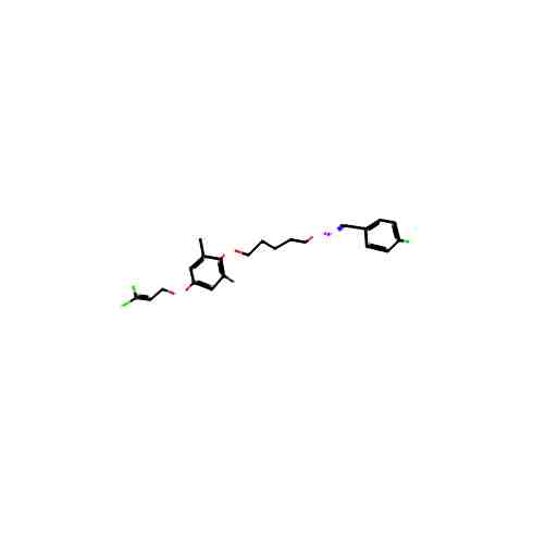 CCc1cc(OCC=C(Cl)Cl)cc(C)c1OCCCCCON=Cc1ccc(Cl)cc1